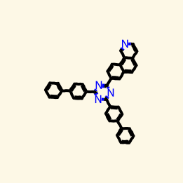 c1ccc(-c2ccc(-c3nc(-c4ccc(-c5ccccc5)cc4)nc(-c4ccc5c(ccc6ccncc65)c4)n3)cc2)cc1